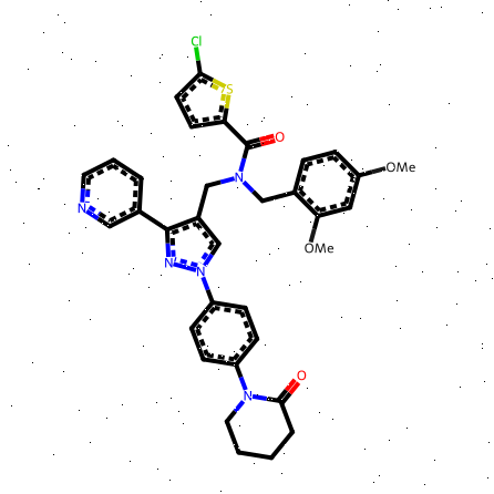 COc1ccc(CN(Cc2cn(-c3ccc(N4CCCCC4=O)cc3)nc2-c2cccnc2)C(=O)c2ccc(Cl)s2)c(OC)c1